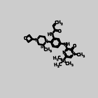 C=CC(=O)Nc1cc(Nc2n[c]([Sn]([CH3])([CH3])[CH3])cn(C)c2=O)ccc1N1CCN(C2COC2)C[C@@H]1C